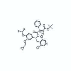 CC(C)(C)OC(=O)N[C@@H](C(=O)OC(Cc1c(Cl)cncc1Cl)c1ccc(OC(F)F)c(OCC2CC2)c1)c1ccccc1